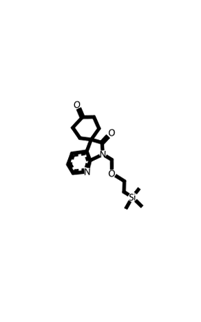 C[Si](C)(C)CCOCN1C(=O)C2(CCC(=O)CC2)c2cccnc21